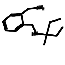 CCC(C)(CC)NCc1ccccc1CN